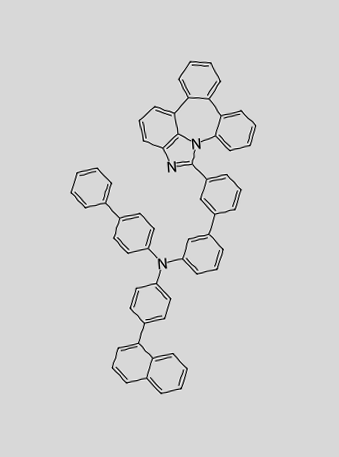 c1ccc(-c2ccc(N(c3ccc(-c4cccc5ccccc45)cc3)c3cccc(-c4cccc(-c5nc6cccc7c6n5-c5ccccc5-c5ccccc5-7)c4)c3)cc2)cc1